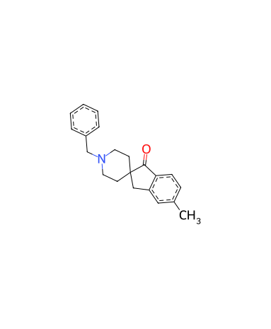 Cc1ccc2c(c1)CC1(CCN(Cc3ccccc3)CC1)C2=O